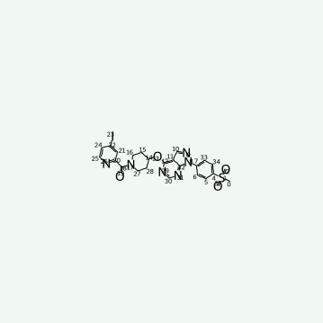 CS(=O)(=O)c1ccc(-n2ncc3c(OC4CCN(C(=O)c5cc(I)ccn5)CC4)ncnc32)cc1